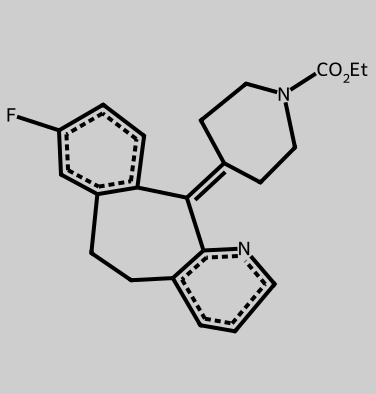 CCOC(=O)N1CCC(=C2c3ccc(F)cc3CCc3cccnc32)CC1